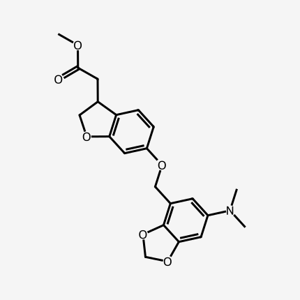 COC(=O)CC1COc2cc(OCc3cc(N(C)C)cc4c3OCO4)ccc21